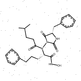 CC(C)CCC(=O)N([C@@H](CCCc1ccccc1)C(=O)NO)N1C(=O)N[C@@H](Cc2ccccc2)C1=O